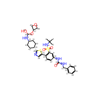 CC(C)(C)NS(=O)(=O)c1cc(NC(=O)NCc2ccccc2)ccc1-c1cnc([C@H]2CC[C@H](NC(O)OC3COC3)CC2)s1